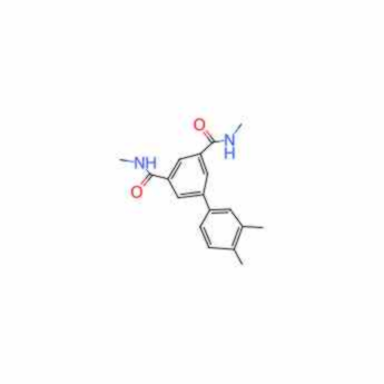 CNC(=O)c1cc(C(=O)NC)cc(-c2ccc(C)c(C)c2)c1